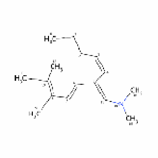 CCC\C=C/C(/C=C/C(C)=C(C)C)=C\N(C)C